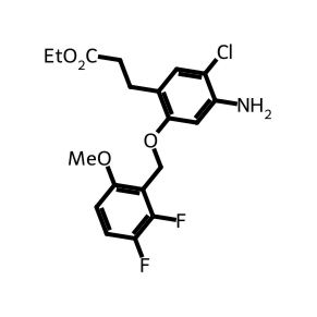 CCOC(=O)CCc1cc(Cl)c(N)cc1OCc1c(OC)ccc(F)c1F